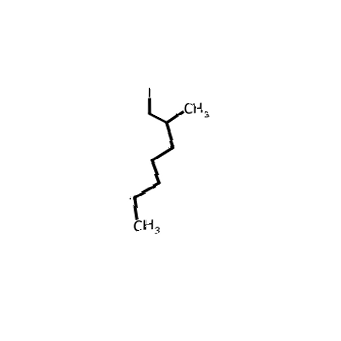 C[CH]CCCC(C)CI